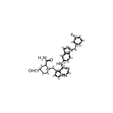 NC(=O)C1CC([C]=O)CCN1Cc1ccn2ncnc(Nc3ccc4c(cnn4Cc4cccc(F)c4)c3)c12